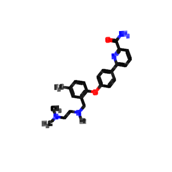 CCN(CCN(C)C)Cc1cc(C(F)(F)F)ccc1Oc1ccc(-c2cccc(C(N)=O)n2)cc1